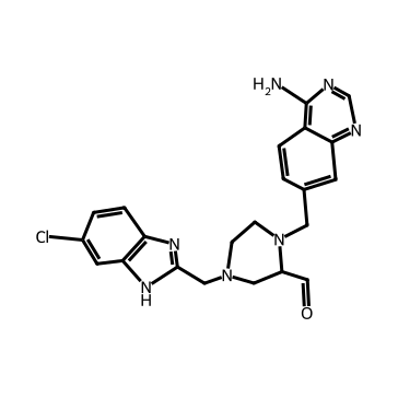 Nc1ncnc2cc(CN3CCN(Cc4nc5ccc(Cl)cc5[nH]4)CC3C=O)ccc12